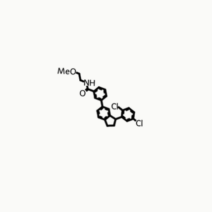 COCCNC(=O)c1cccc(-c2ccc3c(c2)C(c2cc(Cl)ccc2Cl)CC3)c1